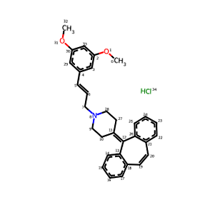 COc1cc(C=CCN2CCC(=C3c4ccccc4C=Cc4ccccc43)CC2)cc(OC)c1.Cl